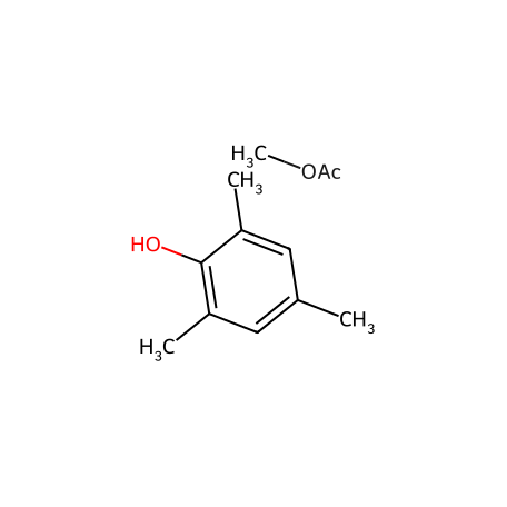 COC(C)=O.Cc1cc(C)c(O)c(C)c1